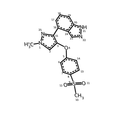 Cn1cc(Oc2ccc(S(C)(=O)=O)cc2)c(-c2cccc3[nH]ncc23)n1